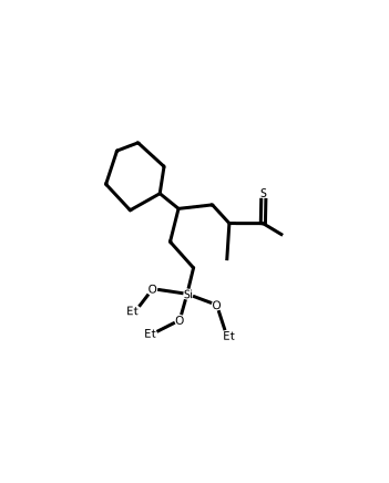 CCO[Si](CCC(CC(C)C(C)=S)C1CCCCC1)(OCC)OCC